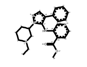 CCN1CCCC(n2ncc(-c3ccccc3)c2Nc2cnccc2C(=O)OC)C1